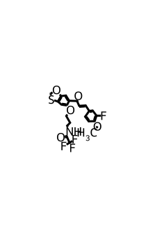 COc1ccc(C=CC(=O)c2cc3c(cc2OCCCNC(=O)C(F)(F)F)SCO3)cc1F